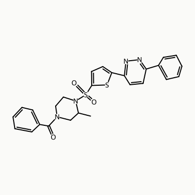 CC1CN(C(=O)c2ccccc2)CCN1S(=O)(=O)c1ccc(-c2ccc(-c3ccccc3)nn2)s1